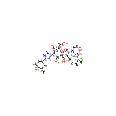 CO[C@@H]1[C@@H](n2cc(-c3cc(F)c(F)c(F)c3)nn2)[C@@H](O)[C@@H](CO)O[C@H]1S[C@H](C(=O)N1CCOCC1)C1(O)CCC(F)(F)CC1